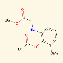 CCC(=O)Oc1c(NCC(=O)OC(C)(C)C)cccc1OC